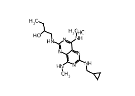 CCC(O)CNc1nc(NC)c2nc(NCC3CC3)nc(NC)c2n1.Cl